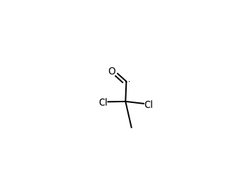 CC(Cl)(Cl)[C]=O